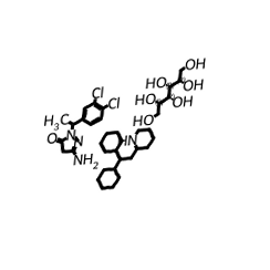 C1CCC(C(CC2CCCCN2)C2CCCCC2)CC1.CC(c1ccc(Cl)c(Cl)c1)N1N=C(N)CC1=O.OC[C@@H](O)[C@@H](O)[C@H](O)[C@H](O)CO